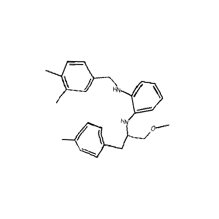 COCC(Cc1ccc(C)cc1)Nc1ccccc1NCc1ccc(C)c(C)c1